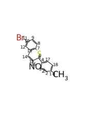 Cc1ccc(C2Sc3ccc(Br)cc3C=C2[N+](=O)[O-])cc1